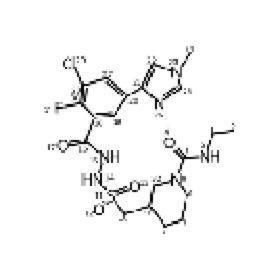 CCNC(=O)N1CCCC(CS(=O)(=O)NNC(=O)c2cc(-c3cn(C)cn3)cc(Cl)c2F)C1